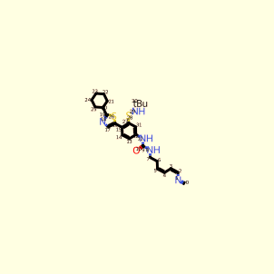 C=N/C=C\C=C/CCNC(=O)Nc1ccc(-c2cnc(C3CCCCC3)s2)c(SNC(C)(C)C)c1